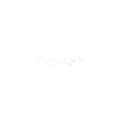 O=[PH](S)NC1[C@@H](O)[C@H](n2cnc3c(NC/C=C/CNc4ncnc5c4ncn5C4OC(CO)[C@@H](N[PH](=O)S)[C@H]4O)ncnc32)O[C@@H]1CO